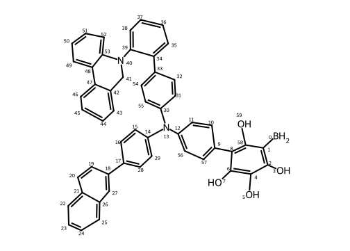 Bc1c(O)c(O)c(O)c(-c2ccc(N(c3ccc(-c4ccc5ccccc5c4)cc3)c3ccc(-c4ccccc4N4Cc5ccccc5-c5ccccc54)cc3)cc2)c1O